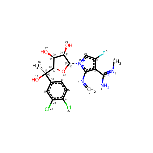 C=Nc1c(/C(N)=N\C)c(F)cn1[C@@H]1O[C@H]([C@](C)(O)c2ccc(Cl)c(Cl)c2)[C@@H](O)[C@H]1O